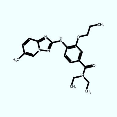 CCCOc1cc(C(=O)N(CC)CC)ccc1Nc1nc2ccc(C)cn2n1